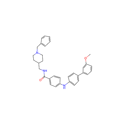 COc1cccc(-c2ccc(Nc3ccc(C(=O)NCC4CCN(Cc5ccccc5)CC4)cc3)cc2)c1